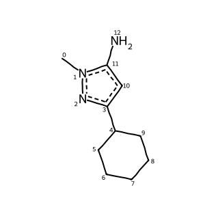 Cn1nc(C2CCCCC2)cc1N